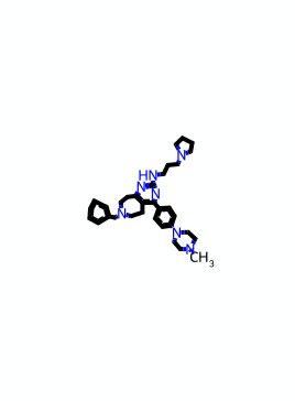 CN1CCN(c2ccc(-c3nc(NCCCN4CCCC4)nc4c3CCN(Cc3ccccc3)CC4)cc2)CC1